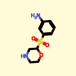 Nc1cccc(S(=O)(=O)C2CNCCO2)c1